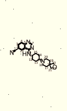 N#Cc1ccc2ncnc(N[C@H]3CC[C@H](N4CCC5(CC4)COC5)CC3)c2c1